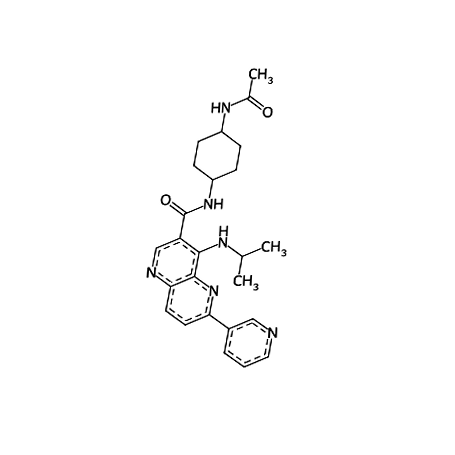 CC(=O)NC1CCC(NC(=O)c2cnc3ccc(-c4cccnc4)nc3c2NC(C)C)CC1